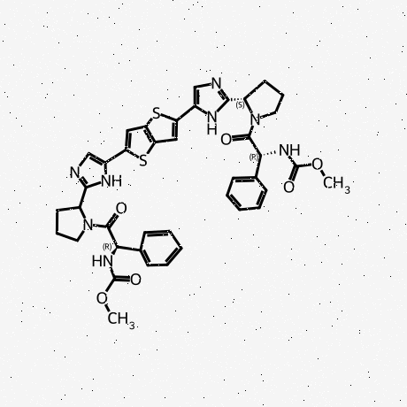 COC(=O)N[C@@H](C(=O)N1CCCC1c1ncc(-c2cc3sc(-c4cnc([C@@H]5CCCN5C(=O)[C@H](NC(=O)OC)c5ccccc5)[nH]4)cc3s2)[nH]1)c1ccccc1